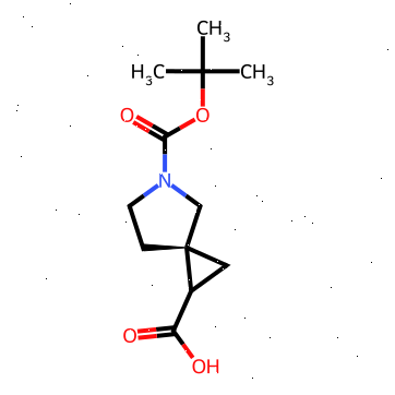 CC(C)(C)OC(=O)N1CC[C@]2(CC2C(=O)O)C1